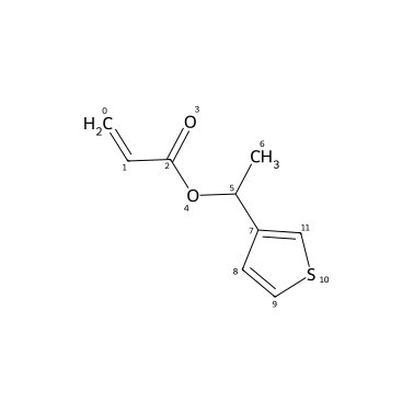 C=CC(=O)OC(C)c1ccsc1